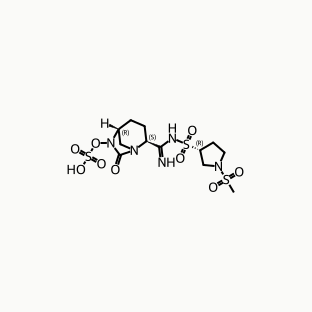 CS(=O)(=O)N1CC[C@@H](S(=O)(=O)NC(=N)[C@@H]2CC[C@@H]3CN2C(=O)N3OS(=O)(=O)O)C1